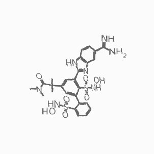 CN(C)C(=O)C(C)(C)c1cc(-c2nc3cc(C(=N)N)ccc3[nH]2)c(S(=O)(=O)NO)c(-c2ccccc2S(=O)(=O)NO)c1